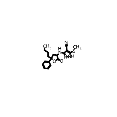 CCCCC1(c2ccccc2)CC(Nc2n[nH]c(SC)c2C#N)C(=O)O1